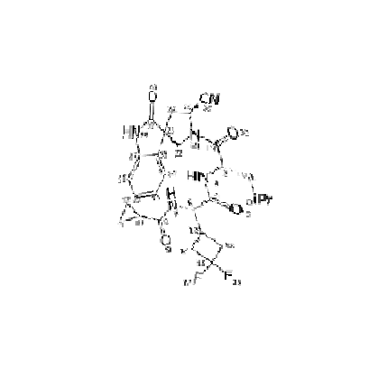 CC(C)C[C@H](NC(=O)[C@@H](NC(=O)C1CC1)C1CC(F)(F)C1)C(=O)N1C[C@]2(C[C@H]1C#N)C(=O)Nc1ccccc12